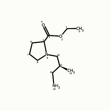 CCOC(=O)C1CCCN1C[C@@H](C)CN